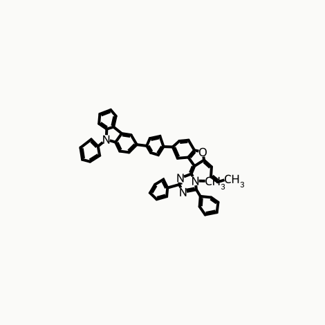 C\C=C/C=c1/oc2ccc(-c3ccc(-c4ccc5c(c4)c4ccccc4n5-c4ccccc4)cc3)cc2/c1=C1\N=C(c2ccccc2)N=C(c2ccccc2)N1C